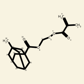 C=C(C)C(=O)OCCOC(=O)C12CC3CC(CC(C)(C3)C1)C2